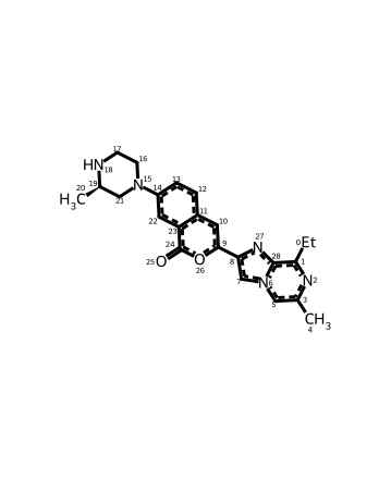 CCc1nc(C)cn2cc(-c3cc4ccc(N5CCN[C@H](C)C5)cc4c(=O)o3)nc12